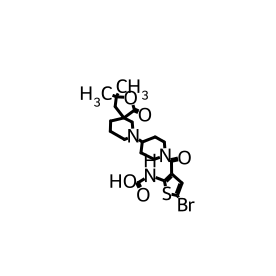 CC1(C)CC2(CCCN(C3CCN(C(=O)c4cc(Br)sc4NC(=O)O)CC3)C2)C(=O)O1